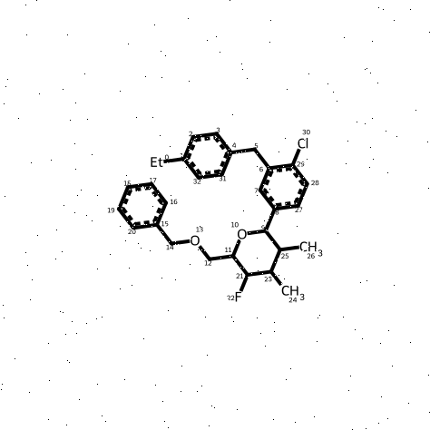 CCc1ccc(Cc2cc(C3OC(COCc4ccccc4)C(F)C(C)C3C)ccc2Cl)cc1